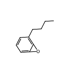 CCCCc1cccc2c1O2